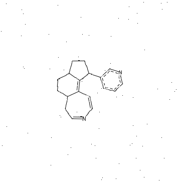 C1=CC2=C3C(CCC2CC=N1)CCC3c1cccnc1